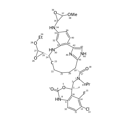 CCCN(C[C@]1(C)OC(=O)Nc2ccc(Cl)c(F)c21)C(=O)[C@@H]1CCCC[C@H](C2OC2OCC)Nc2cc(NC3OC3OC)ccc2-c2c[nH]c1n2